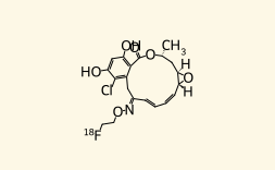 C[C@@H]1C[C@H]2O[C@@H]2/C=C\C=C\C(=NOCC[18F])Cc2c(Cl)c(O)cc(O)c2C(=O)O1